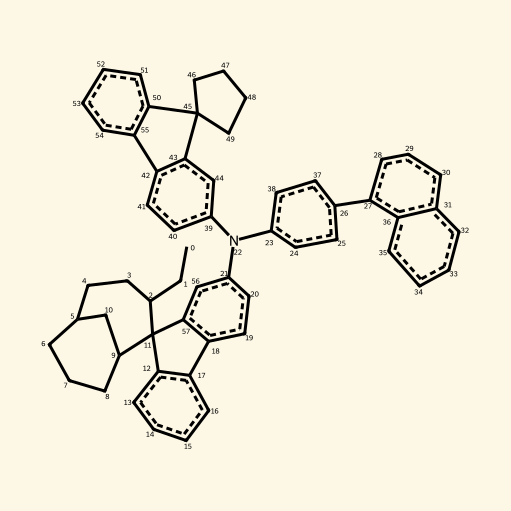 CCC1CCC2CCCC(C2)C12c1ccccc1-c1ccc(N(c3ccc(-c4cccc5ccccc45)cc3)c3ccc4c(c3)C3(CCCC3)c3ccccc3-4)cc12